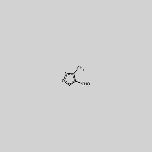 Cc1nocc1C=O